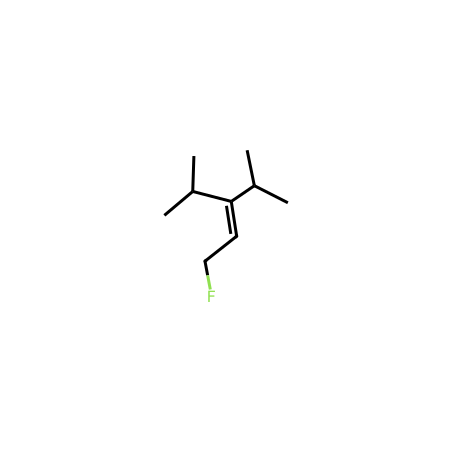 CC(C)C(=CCF)C(C)C